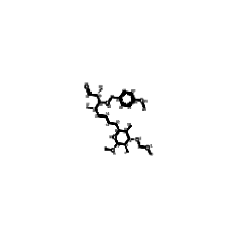 COCO[C@@H]1[C@@H](C)[C@H](OC)O[C@@H](CCC=C[C@H](C)[C@H](OCc2ccc(OC)cc2)[C@@H](C)C=O)[C@H]1C